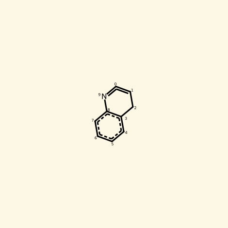 C1=CCc2ccccc2N=1